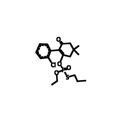 CCCSP(=O)(OCC)OC1=C(c2ccccc2Cl)C(=O)CC(C)(C)C1